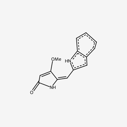 COC1=CC(=O)NC1=Cc1cc2ccccc2[nH]1